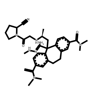 C=C(c1ccc2c(c1)CCc1cc(C(=O)N(C)C)ccc1C2(C[C@H](C)NCC(=O)N1CCCC1C#N)/C(N)=N/NC)N(C)C